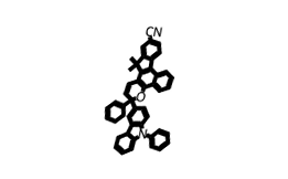 CC1(C)c2cc(C#N)ccc2-c2c1c1c(c3ccccc23)OC(C2=CC=CCC2)(c2ccc3c(c2)C2CC=CC=C2N3c2ccccc2)C=C1